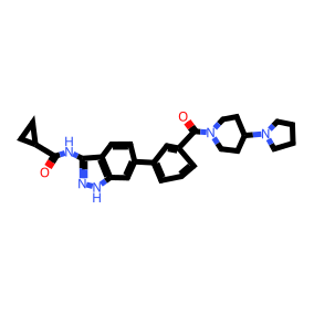 O=C(Nc1n[nH]c2cc(-c3cccc(C(=O)N4CCC(N5CCCC5)CC4)c3)ccc12)C1CC1